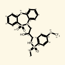 CN=S(=O)(NCC(O)CN1c2ccccc2Oc2ccccc2S1(=O)=O)c1ccc(OC(F)(F)F)cc1